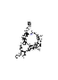 COC(=O)[C@@]1(O)CC(=O)N(C)CC/C=C/[C@H](OCCCBr)[C@@H]2CC[C@H]2CN2CCCCc3cc(Cl)ccc3COc3ccc1cc32